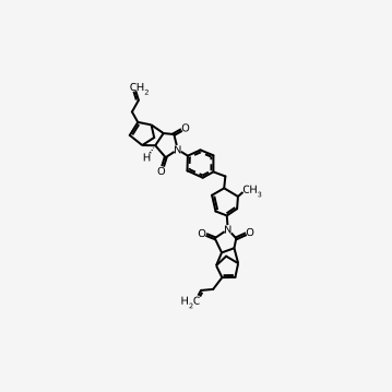 C=CCC1=CC2CC1C1C(=O)N(C3=CC(C)C(Cc4ccc(N5C(=O)C6C7CC(C=C7CC=C)[C@@H]6C5=O)cc4)C=C3)C(=O)C21